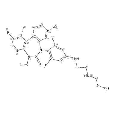 CCN1C(=O)N(c2c(F)cc(NCCNCCO)cc2F)c2cc(Cl)ccc2-c2c1ncc(F)c2C